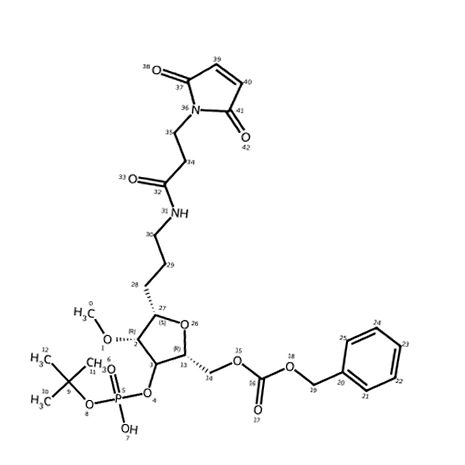 CO[C@H]1C(OP(=O)(O)OC(C)(C)C)[C@@H](COC(=O)OCc2ccccc2)O[C@H]1CCCNC(=O)CCN1C(=O)C=CC1=O